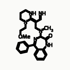 COCCN1CCCN/C1=C(\C=N)CN(C)C1N=C(c2ccccc2)c2ccccc2NC1=O